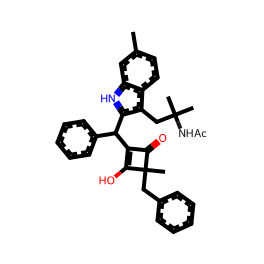 CC(=O)NC(C)(C)Cc1c(C(C2=C(O)C(C)(Cc3ccccc3)C2=O)c2ccccc2)[nH]c2cc(C)ccc12